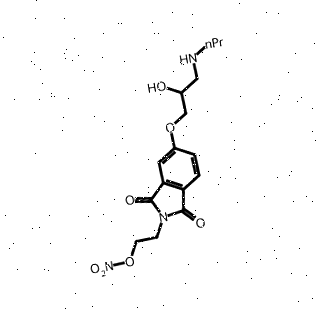 CCCNCC(O)COc1ccc2c(c1)C(=O)N(CCO[N+](=O)[O-])C2=O